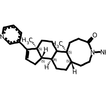 C[C@]12CCC3[C@@H](CC[C@H]4CCN(N)C(=O)CC[C@]34C)[C@@H]1CC=C2c1cccnc1